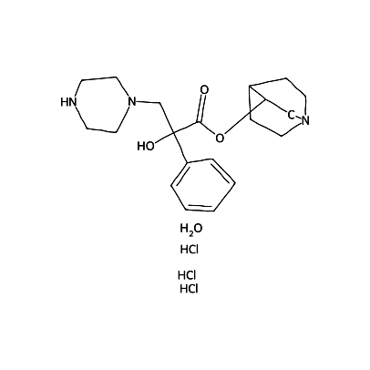 Cl.Cl.Cl.O.O=C(OC1CN2CCC1CC2)C(O)(CN1CCNCC1)c1ccccc1